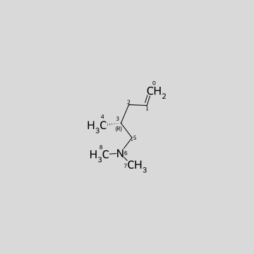 C=CC[C@@H](C)[CH]N(C)C